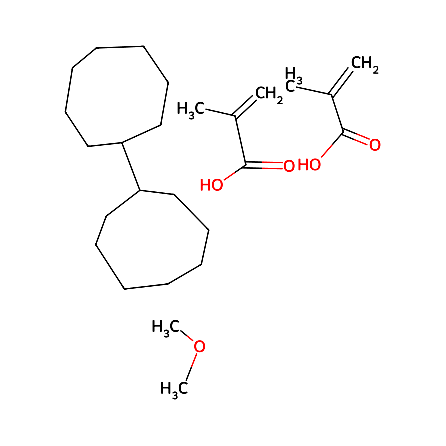 C1CCCC(C2CCCCCCC2)CCC1.C=C(C)C(=O)O.C=C(C)C(=O)O.COC